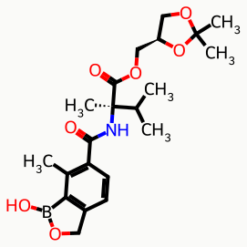 Cc1c(C(=O)N[C@@](C)(C(=O)OC[C@H]2COC(C)(C)O2)C(C)C)ccc2c1B(O)OC2